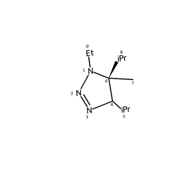 CCN1N=NC(C(C)C)[C@]1(C)C(C)C